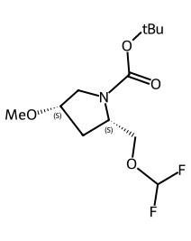 CO[C@H]1C[C@@H](COC(F)F)N(C(=O)OC(C)(C)C)C1